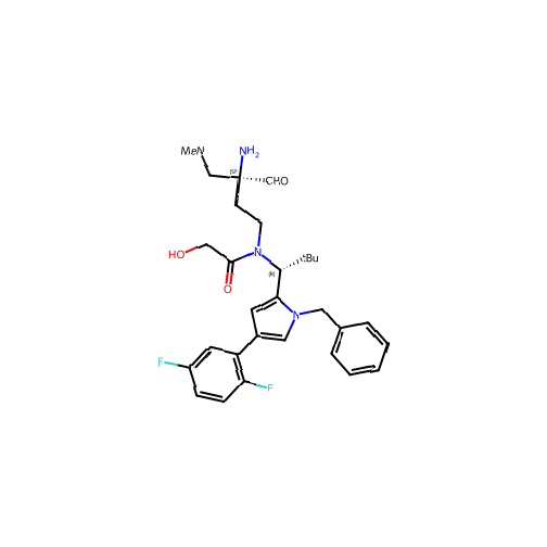 CNC[C@](N)(C=O)CCN(C(=O)CO)[C@@H](c1cc(-c2cc(F)ccc2F)cn1Cc1ccccc1)C(C)(C)C